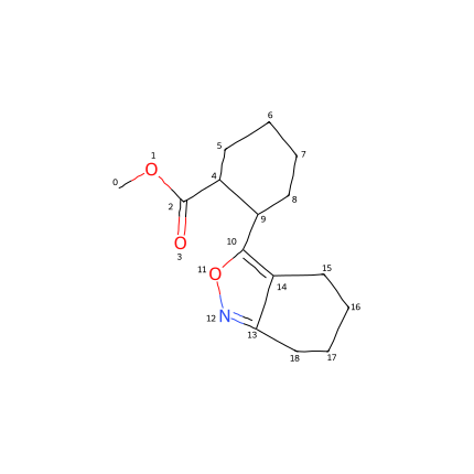 COC(=O)C1CCCCC1c1onc2c1CCCC2